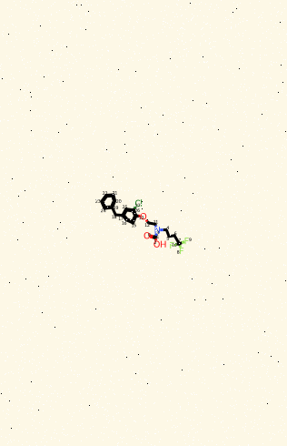 O=C(O)N(CCCC(F)(F)F)CCOc1ccc(Cc2ccccc2)cc1Cl